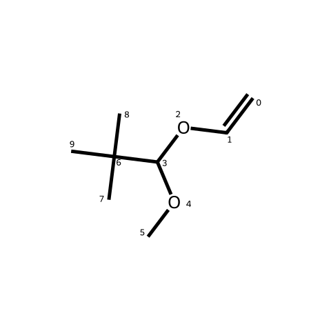 C=COC(OC)C(C)(C)C